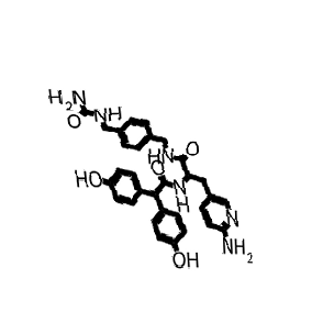 NC(=O)NCc1ccc(CNC(=O)C(Cc2ccc(N)nc2)NC(=O)C(c2ccc(O)cc2)c2ccc(O)cc2)cc1